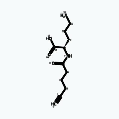 C#CCCCC(=O)N[C@@H](CCCN)C(=O)O